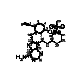 C#Cc1ccc(OC)cc1Sc1nc2c(N)ncnc2n1CCC1CCCN(S(C)(=O)=O)C1